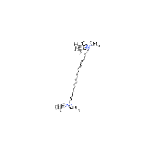 CC[N+](C)(CC)CCCCCCCCCCCCCCCCCCCCC[N+](C)(CC)CC